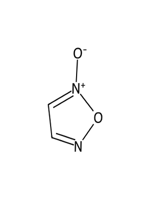 [O-][n+]1ccno1